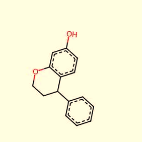 Oc1ccc2c(c1)OCCC2c1ccccc1